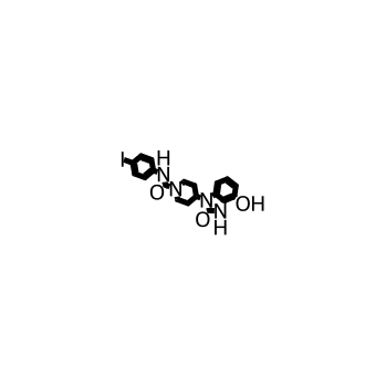 O=C(Nc1ccc(I)cc1)N1CCC(n2c(=O)[nH]c3c(O)cccc32)CC1